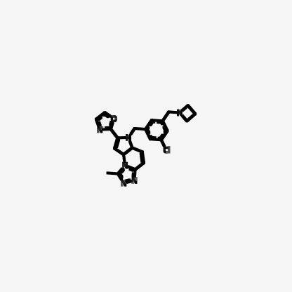 Cc1nnc2n1C1C=C(c3ncco3)N(Cc3cc(Cl)cc(CN4CCC4)c3)C1C=C2